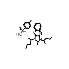 CCCC(C)N1c2nc3ccccc3nc2N(C(C)CCC)C1C.Cc1ccc(S(=O)(=O)O)cc1